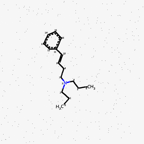 CCCN(CCC)CCC=Cc1ccccc1